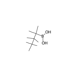 CC(C)(C)C(C)(C)C(C)(C)B(O)O